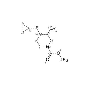 CC1CN(C(=O)OC(C)(C)C)CCN1CC1CC1